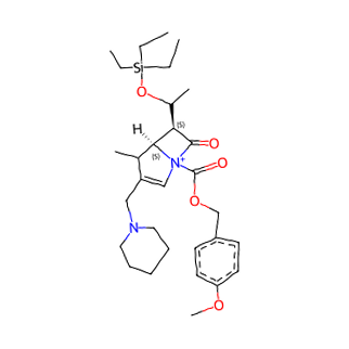 CC[Si](CC)(CC)OC(C)[C@H]1C(=O)[N+]2(C(=O)OCc3ccc(OC)cc3)C=C(CN3CCCCC3)C(C)[C@@H]12